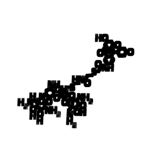 NCC1O[C@H](O[C@@H]2[C@H](O)[C@H](OC3C(O)[C@H](N)CC(N)[C@H]3O[C@@H]3OC(CN)[C@@H](O)C(O)C3N)O[C@@H]2CSCCNC(=O)CCSCC(=O)Nc2ccc(-c3c4ccc(=O)cc-4oc4cc(O)ccc34)c(C(=O)O)c2)C(N)C(O)[C@@H]1O